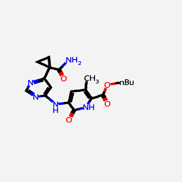 CCCCOC(=O)c1[nH]c(=O)c(Nc2cc(C3(C(N)=O)CC3)ncn2)cc1C